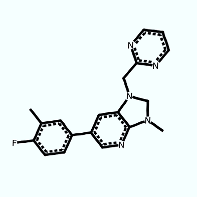 Cc1cc(-c2cnc3c(c2)N(Cc2ncccn2)CN3C)ccc1F